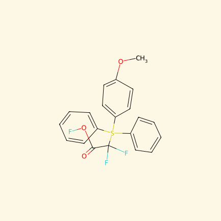 COc1ccc(S(c2ccccc2)(c2ccccc2)C(F)(F)C(=O)OF)cc1